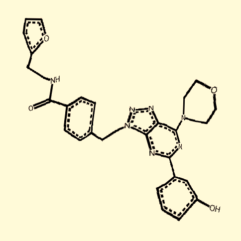 O=C(NCc1ccco1)c1ccc(Cn2nnc3c(N4CCOCC4)nc(-c4cccc(O)c4)nc32)cc1